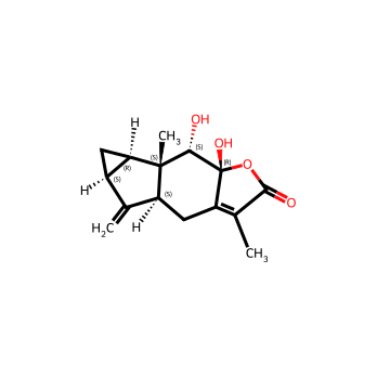 C=C1[C@H]2C[C@H]2[C@@]2(C)[C@H]1CC1=C(C)C(=O)O[C@@]1(O)[C@H]2O